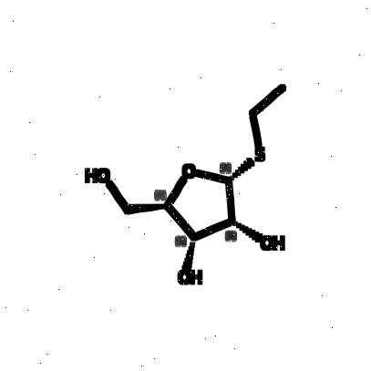 CCS[C@H]1O[C@H](CO)[C@@H](O)[C@H]1O